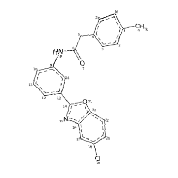 Cc1ccc(CC(=O)Nc2cccc(-c3nc4cc(Cl)ccc4o3)c2)cc1